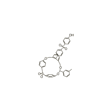 Cc1cccc(C2OCc3cccc(c3-c3ccc(S(=O)(=O)c4ccc(O)cc4)cc3)COc3ccc(cc3)S(=O)(=O)c3ccc(cc3)O2)c1